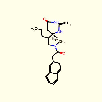 C=C1NC(=O)C[C@@](C)(C(CCC)CN(C)C(=O)CC2C=c3ccccc3=CC2)N1